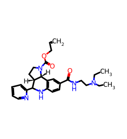 C=CCOC(=O)N1CC[C@H]2C(c3ccccn3)Nc3ccc(C(=O)NCCN(CC)CC)cc3[C@H]21